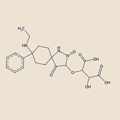 CCNC1(c2ccccc2)CCC2(CC1)N[N+](=O)C(OC(C(=O)O)C(O)C(=O)O)C2=O